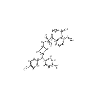 NC(=O)c1c(C=O)cccc1NS(=O)(=O)CC1CN(C(c2ccc(Cl)cc2)c2ccc(Cl)cc2)C1